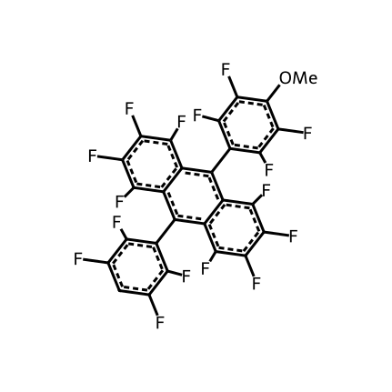 COc1c(F)c(F)c(-c2c3c(F)c(F)c(F)c(F)c3c(-c3c(F)c(F)cc(F)c3F)c3c(F)c(F)c(F)c(F)c23)c(F)c1F